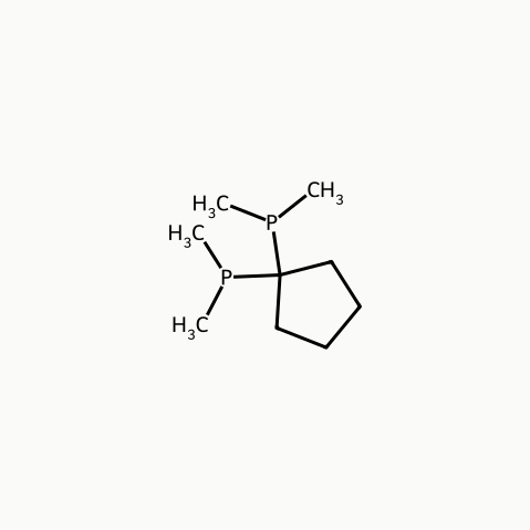 CP(C)C1(P(C)C)CCCC1